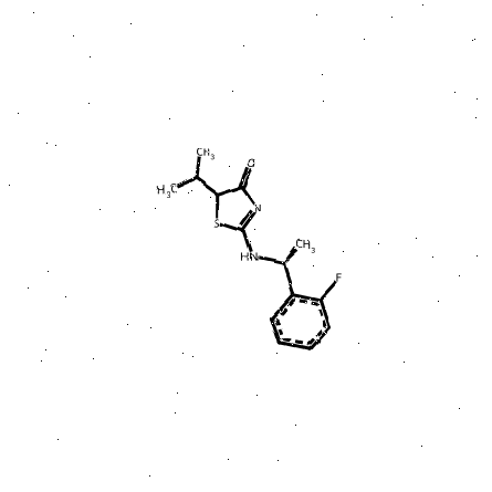 CC(C)C1SC(N[C@@H](C)c2ccccc2F)=NC1=O